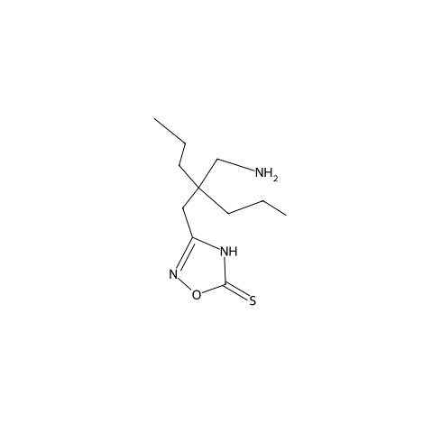 CCCC(CN)(CCC)Cc1noc(=S)[nH]1